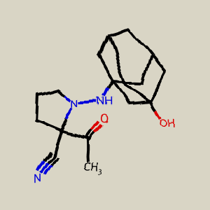 CC(=O)C1(C#N)CCCN1NC12CC3CC(CC(O)(C3)C1)C2